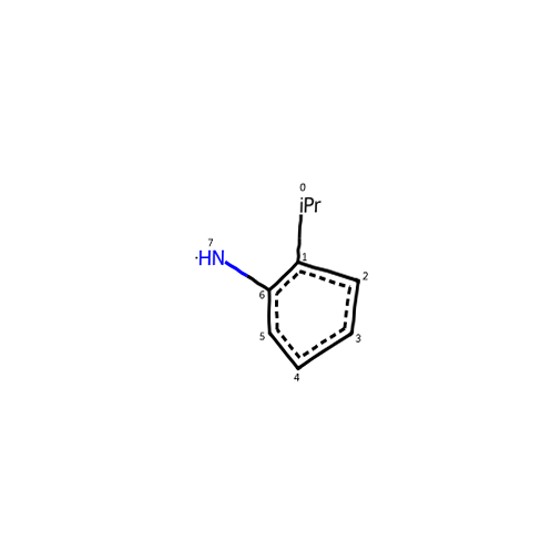 CC(C)c1ccccc1[NH]